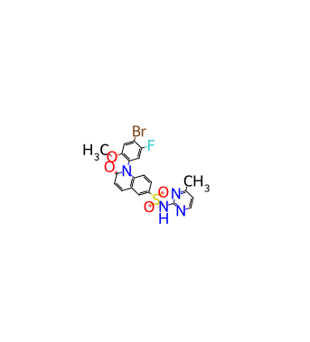 COc1cc(Br)c(F)cc1-n1c(=O)ccc2cc(S(=O)(=O)Nc3nccc(C)n3)ccc21